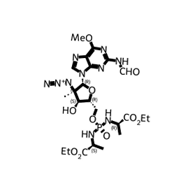 CCOC(=O)[C@H](C)NP(=O)(N[C@H](C)C(=O)OCC)OC[C@H]1O[C@@H](n2cnc3c(OC)nc(NC=O)nc32)[C@](C)(N=[N+]=[N-])[C@@H]1O